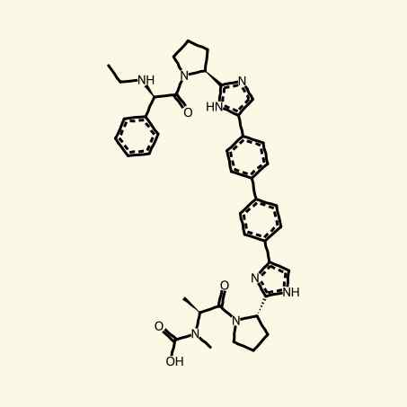 CCN[C@@H](C(=O)N1CCC[C@H]1c1ncc(-c2ccc(-c3ccc(-c4c[nH]c([C@@H]5CCCN5C(=O)[C@H](C)N(C)C(=O)O)n4)cc3)cc2)[nH]1)c1ccccc1